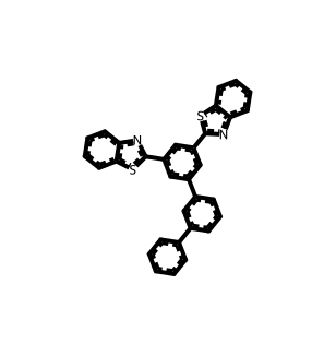 c1ccc(-c2cccc(-c3cc(-c4nc5ccccc5s4)cc(-c4nc5ccccc5s4)c3)c2)cc1